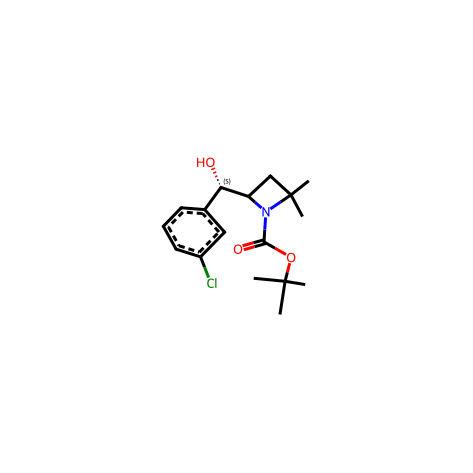 CC(C)(C)OC(=O)N1C([C@@H](O)c2cccc(Cl)c2)CC1(C)C